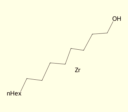 CCCCCCCCCCCCCCO.[Zr]